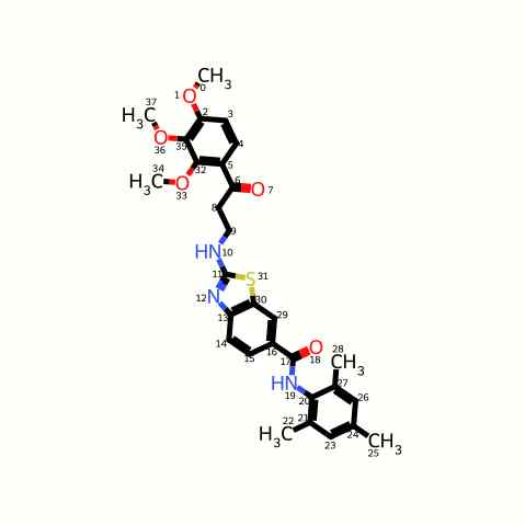 COc1ccc(C(=O)CCNc2nc3ccc(C(=O)Nc4c(C)cc(C)cc4C)cc3s2)c(OC)c1OC